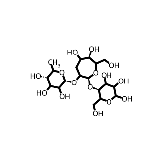 CC1O[C@@H](OC2CC(O)[C@@H](O)C(CO)O[C@H]2O[C@@H]2C(CO)OC(O)C(O)C2O)C(O)C(O)[C@@H]1O